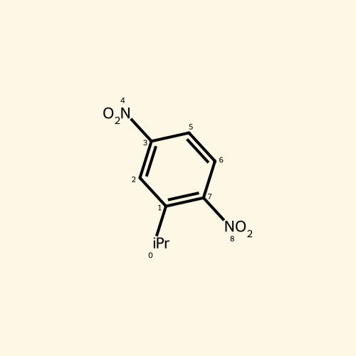 CC(C)c1cc([N+](=O)[O-])ccc1[N+](=O)[O-]